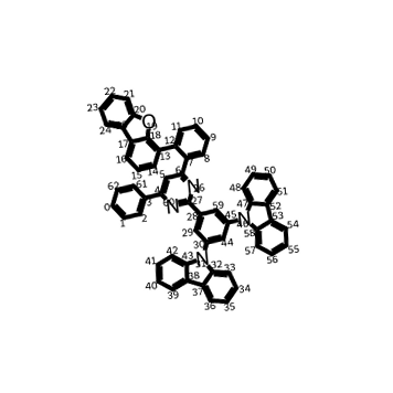 c1ccc(-c2cc(-c3ccccc3-c3cccc4c3oc3ccccc34)nc(-c3cc(-n4c5ccccc5c5ccccc54)cc(-n4c5ccccc5c5ccccc54)c3)n2)cc1